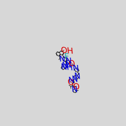 CCc1cccc2cc(O)cc(-c3ncc4c(N5CC6CCC(C5)N6)nc(OCCN5CCC(CN6CCN(c7cc(C(C(=O)N8CCCC8C)C(C)C)on7)CC6)CC5)nc4c3F)c12